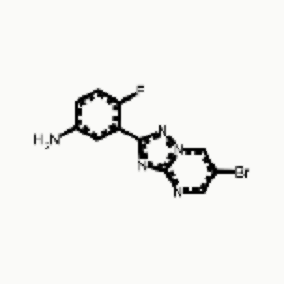 Nc1ccc(F)c(-c2nc3ncc(Br)cn3n2)c1